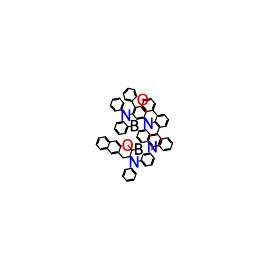 CN(c1ccccc1)c1cc2c(cc1B1c3ccccc3N(c3ccccc3)C3Cc4cc5ccccc5cc4OC13)B1c3ccccc3N(c3ccccc3)c3c1c(cc1oc4ccccc4c31)N2c1c(-c2ccccc2)cccc1-c1ccccc1